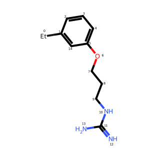 CCc1cccc(OCCCNC(=N)N)c1